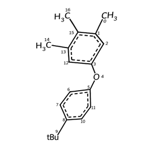 Cc1cc(Oc2ccc(C(C)(C)C)cc2)cc(C)c1C